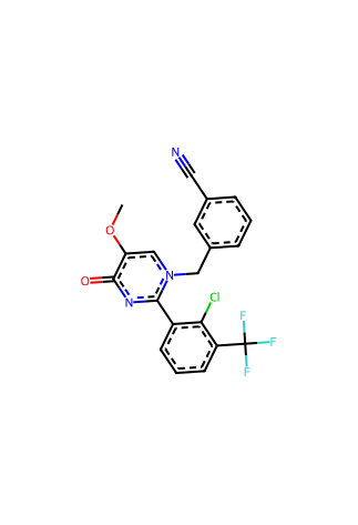 COc1cn(Cc2cccc(C#N)c2)c(-c2cccc(C(F)(F)F)c2Cl)nc1=O